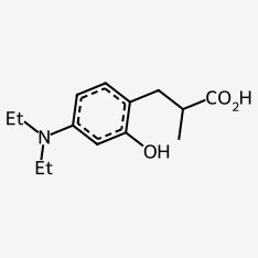 CCN(CC)c1ccc(CC(C)C(=O)O)c(O)c1